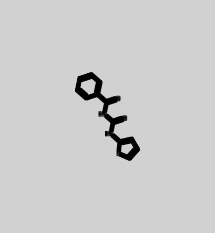 O=C(NC(=O)c1ccccc1)Nc1cccs1